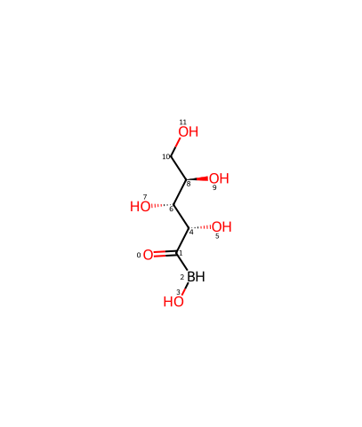 O=C(BO)[C@@H](O)[C@H](O)[C@H](O)CO